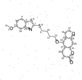 COc1ccc2sc(SCCCCOc3c4ccoc4cc4oc(=O)ccc34)nc2c1